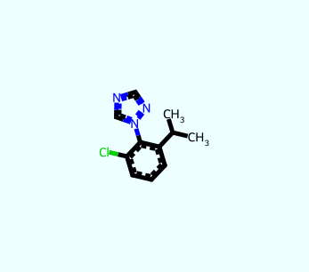 CC(C)c1cccc(Cl)c1-n1cncn1